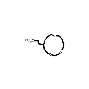 O=C(O)CCC1CCCCCCCCCCCCCC1